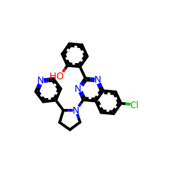 Oc1ccccc1-c1nc(N2CCCC2c2ccncc2)c2ccc(Cl)cc2n1